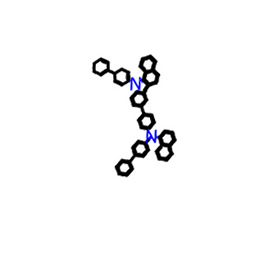 C1=CC(C2C=CC(n3c4ccc(-c5ccc(N(c6ccc(-c7ccccc7)cc6)c6cccc7ccccc67)cc5)cc4c4ccc5ccccc5c43)=CC2)=CCC1